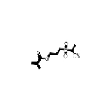 C=C(C)C(=O)OCCCS(=O)(=O)C(C)C#N